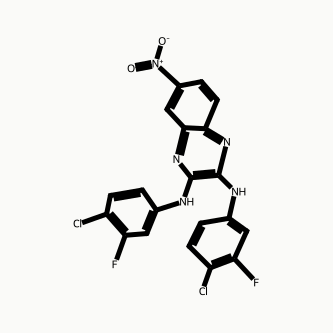 O=[N+]([O-])c1ccc2nc(Nc3ccc(Cl)c(F)c3)c(Nc3ccc(Cl)c(F)c3)nc2c1